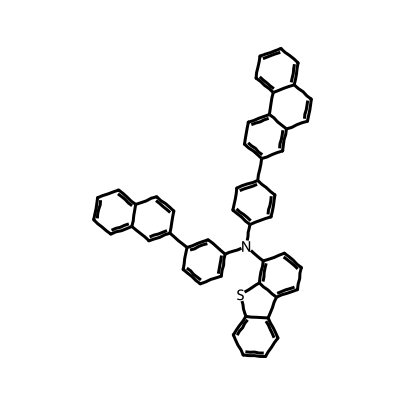 c1cc(-c2ccc3ccccc3c2)cc(N(c2ccc(-c3ccc4c(ccc5ccccc54)c3)cc2)c2cccc3c2sc2ccccc23)c1